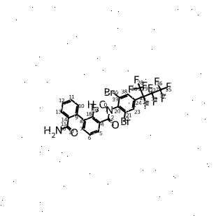 CN(C(=O)c1cccc(-c2ccccc2C(N)=O)c1F)c1c(Br)cc(C(F)(C(F)(F)F)C(F)(F)C(F)(F)F)cc1Br